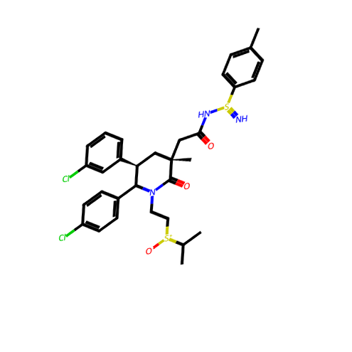 Cc1ccc(S(=N)NC(=O)C[C@@]2(C)C[C@H](c3cccc(Cl)c3)C(c3ccc(Cl)cc3)N(CC[S+]([O-])C(C)C)C2=O)cc1